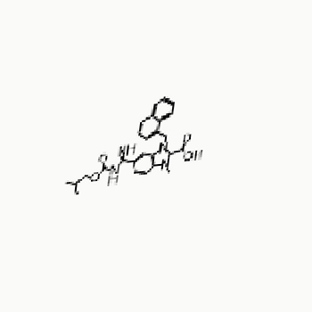 CC(C)COC(=O)NC(=N)c1ccc2c(c1)N(Cc1cccc3ccccc13)C(C(=O)O)N2C